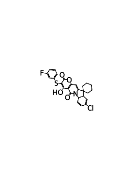 O=c1oc2cc3n(c(=O)c2c(O)c1Sc1cccc(F)c1)C1C=CC(Cl)=CC1C31CCCCC1